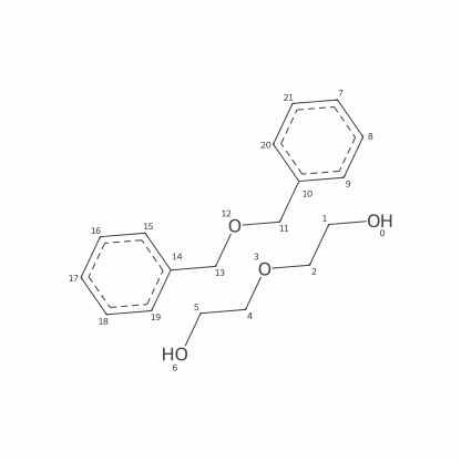 OCCOCCO.c1ccc(COCc2ccccc2)cc1